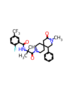 CN1CC(c2ccccc2)C2(CCN(C(=O)C(C)(C)NC(=O)c3cc(C(F)(F)F)ccc3F)CC2)CC1=O